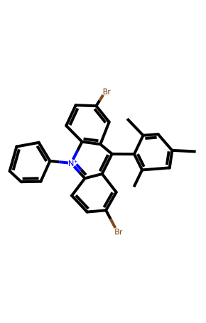 Cc1cc(C)c(-c2c3cc(Br)ccc3[n+](-c3ccccc3)c3ccc(Br)cc23)c(C)c1